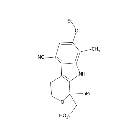 CCCC1(CC(=O)O)OCCc2c1[nH]c1c(C)c(OCC)cc(C#N)c21